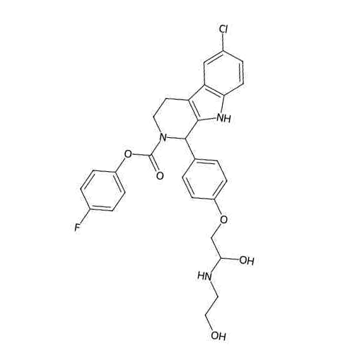 O=C(Oc1ccc(F)cc1)N1CCc2c([nH]c3ccc(Cl)cc23)C1c1ccc(OCC(O)NCCO)cc1